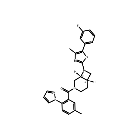 Cc1ccc(-n2cccn2)c(C(=O)N2CC[C@H]3CN(c4nc(C)c(-c5cccc(F)c5)o4)[C@H]3C2)c1